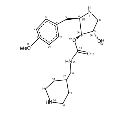 COc1ccc(C[C@H]2NC[C@H](O)[C@H]2OC(=O)NCC2CCNCC2)cc1